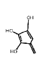 C=C1C=C(O)C(O)=C1O